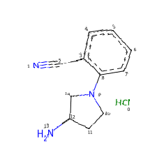 Cl.N#Cc1ccccc1N1CCC(N)C1